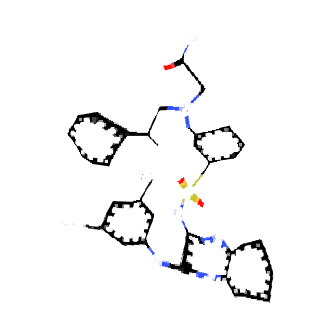 COc1cc(Nc2nc3ccccc3nc2NS(=O)(=O)c2cccc(N(CC(N)=O)CC(C)c3ccccc3)c2)cc(OC)c1